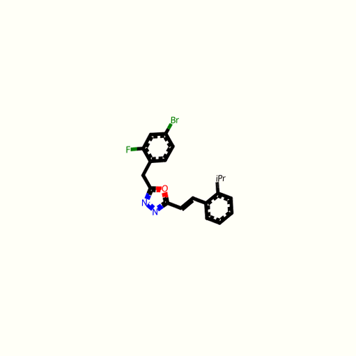 CC(C)c1ccccc1/C=C/c1nnc(Cc2ccc(Br)cc2F)o1